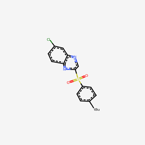 CC(C)(C)c1ccc(S(=O)(=O)c2cnc3cc(Cl)ccc3n2)cc1